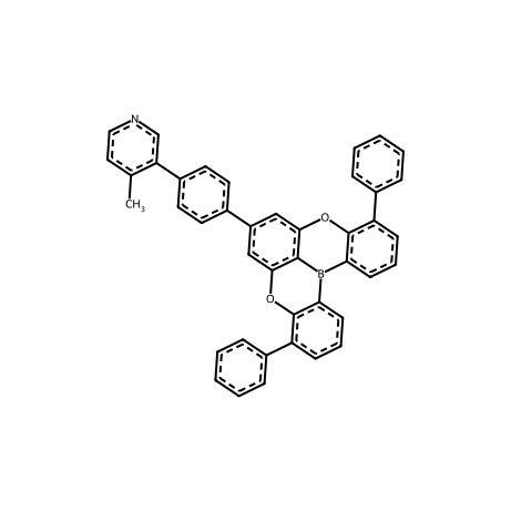 Cc1ccncc1-c1ccc(-c2cc3c4c(c2)Oc2c(cccc2-c2ccccc2)B4c2cccc(-c4ccccc4)c2O3)cc1